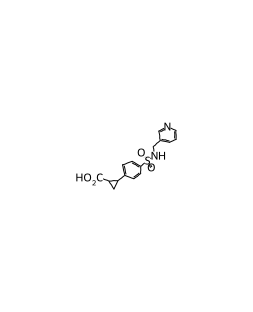 O=C(O)C1CC1c1ccc(S(=O)(=O)NCc2cccnc2)cc1